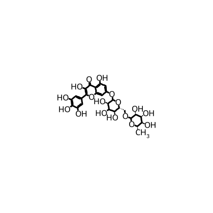 C[C@@H]1OC(OC[C@H]2OC(Oc3cc(O)c4c(=O)c(O)c(-c5cc(O)c(O)c(O)c5)oc4c3)[C@H](O)C(O)[C@@H]2O)[C@H](O)[C@H](O)[C@H]1O